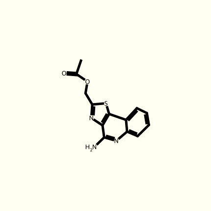 CC(=O)OCc1nc2c(N)nc3ccccc3c2s1